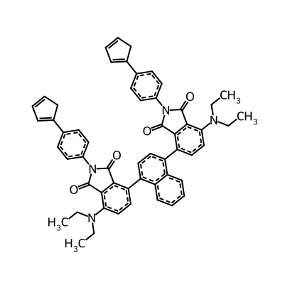 CCN(CC)c1ccc(-c2ccc(-c3ccc(N(CC)CC)c4c3C(=O)N(c3ccc(C5=CC=CC5)cc3)C4=O)c3ccccc23)c2c1C(=O)N(c1ccc(C3=CC=CC3)cc1)C2=O